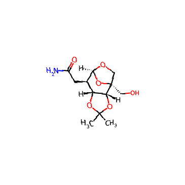 CC1(C)O[C@@H]2[C@@H](CC(N)=O)[C@H]3OC[C@](CO)(O3)[C@@H]2O1